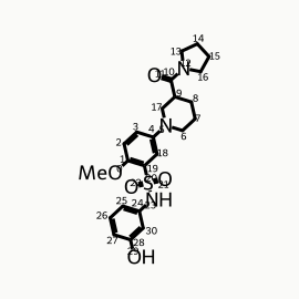 COc1ccc(N2CCCC(C(=O)N3CCCC3)C2)cc1S(=O)(=O)Nc1cccc(O)c1